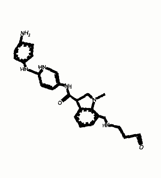 CN1CC(C(=O)NC2=CNC(Nc3ccc(N)cc3)C=C2)c2cccc(CNCCC=O)c21